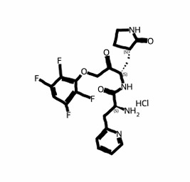 Cl.N[C@@H](Cc1ccccn1)C(=O)N[C@@H](C[C@@H]1CCNC1=O)C(=O)COc1c(F)c(F)cc(F)c1F